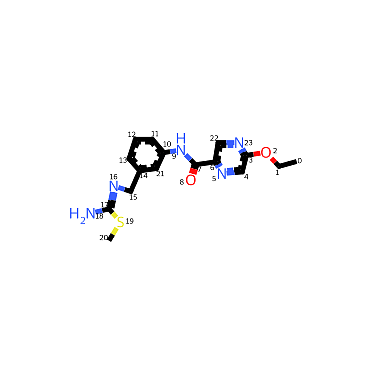 CCOc1cnc(C(=O)Nc2cccc(C/N=C(/N)SC)c2)cn1